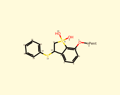 CCCCCOc1cccc2c1S(O)(O)CC2Sc1ccccc1